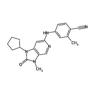 Cc1cc(Nc2cc3c(cn2)n(C)c(=O)n3C2CCCC2)ccc1C#N